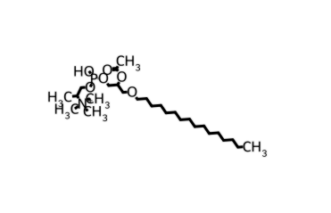 CCCCCCCCCCCCCCCCOCC(COP(O)OCC(C)[N+](C)(C)C)OC(C)=O